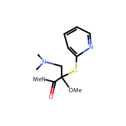 CNC(=O)C(CN(C)C)(OC)Sc1ccccn1